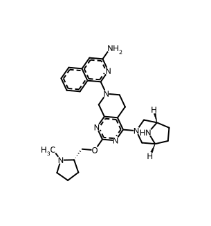 CN1CCC[C@H]1COc1nc2c(c(N3C[C@H]4CC[C@@H](C3)N4)n1)CCN(c1nc(N)cc3ccccc13)C2